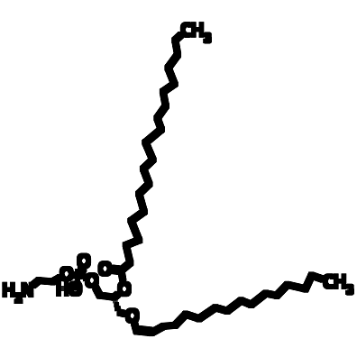 CCCCCCCCCCCCCC/C=C\OC[C@H](COP(=O)(O)OCCN)OC(=O)CCCCCCCCCCCCCCCCCCC